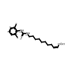 CCCCCCCC/C=C\CCCCCCCCNC(=S)Nc1c(C)cccc1C